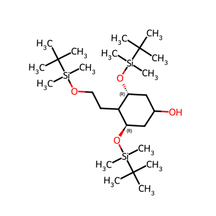 CC(C)(C)[Si](C)(C)OCCC1[C@H](O[Si](C)(C)C(C)(C)C)CC(O)C[C@H]1O[Si](C)(C)C(C)(C)C